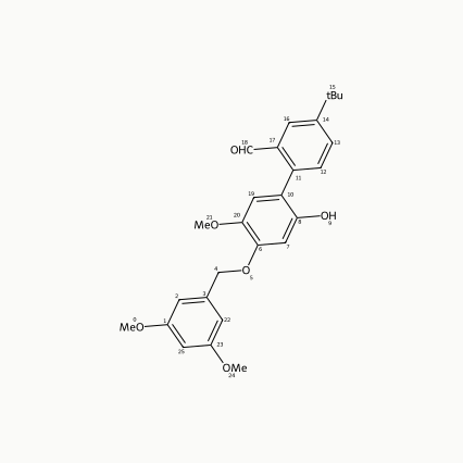 COc1cc(COc2cc(O)c(-c3ccc(C(C)(C)C)cc3C=O)cc2OC)cc(OC)c1